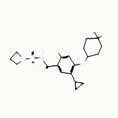 O=C(NS(=O)(=O)N1CCC1)c1cc(C2CC2)c(OC2CCC(Cl)(Cl)CC2)cc1F